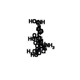 C[C@H](O/N=C(\C(=O)N[C@@H]1C(=O)N2C(C(=O)O)=C(C[n+]3cccc4c3ccn4C[C@@H]3C[C@@H](O)CN3)CS[C@H]12)c1nc(N)sc1Cl)C(=O)O